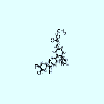 CCOC(=O)/C=C/c1cccc(-c2cnc(Nc3ccc(F)c(Cl)c3)nc2-n2nccn2)c1